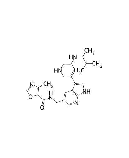 Cc1ncoc1C(=O)NCc1cnc2[nH]cc(C3=CC(NC(C)C(C)C)=CNC3)c2c1